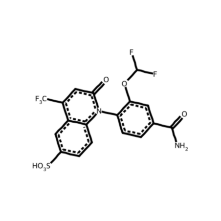 NC(=O)c1ccc(-n2c(=O)cc(C(F)(F)F)c3cc(S(=O)(=O)O)ccc32)c(OC(F)F)c1